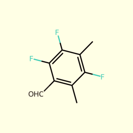 Cc1c(F)c(C)c(C=O)c(F)c1F